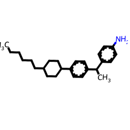 CCCCCCC1CCC(c2ccc(C(C)c3ccc(N)cc3)cc2)CC1